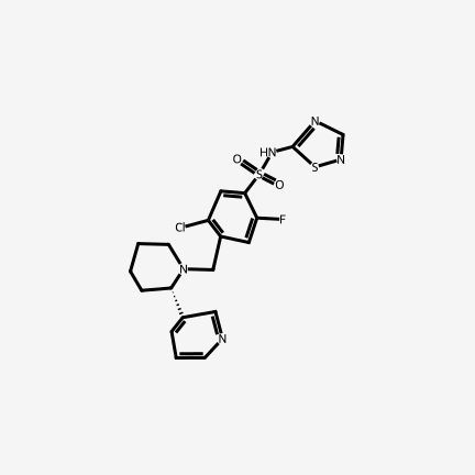 O=S(=O)(Nc1ncns1)c1cc(Cl)c(CN2CCCC[C@H]2c2cccnc2)cc1F